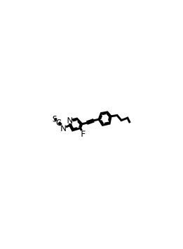 CCCCc1ccc(C#Cc2cnc(N=C=S)cc2F)cc1